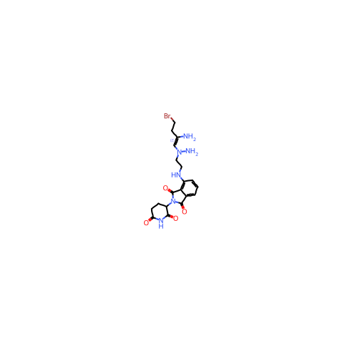 N/C(=C\N(N)CCNc1cccc2c1C(=O)N(C1CCC(=O)NC1=O)C2=O)CCBr